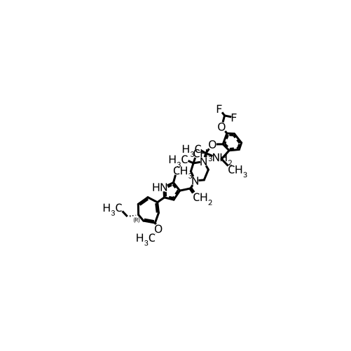 C=C(c1cc(C2=CC(OC)=C[C@H](CC)C=C2)[nH]c1C)N1CCN(C(C)(N)Oc2c(CC)cccc2OC(F)F)C(C)(C)C1